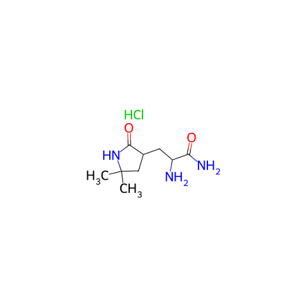 CC1(C)CC(CC(N)C(N)=O)C(=O)N1.Cl